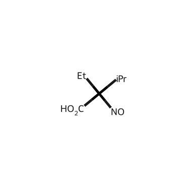 CCC(N=O)(C(=O)O)C(C)C